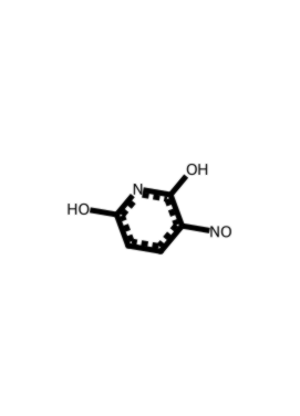 O=Nc1ccc(O)nc1O